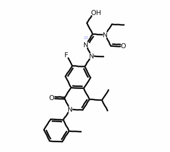 CCN(C=O)/C(CO)=N\N(C)c1cc2c(C(C)C)cn(-c3ccccc3C)c(=O)c2cc1F